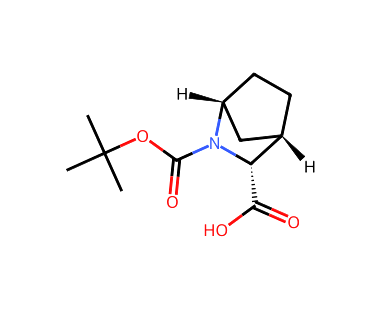 CC(C)(C)OC(=O)N1[C@@H]2CC[C@@H](C2)[C@@H]1C(=O)O